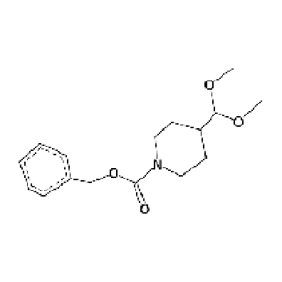 COC(OC)C1CCN(C(=O)OCc2ccccc2)CC1